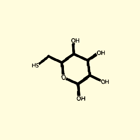 OC1OC(CS)C(O)C(O)C1O